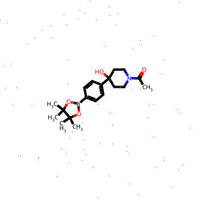 CC(=O)N1CCC(O)(c2ccc(B3OC(C)(C)C(C)(C)O3)cc2)CC1